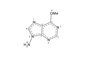 COc1ncnc2c1ncn2N